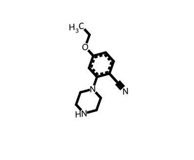 CCOc1ccc(C#N)c(N2CCNCC2)c1